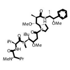 CC[C@H](C)[C@@H]([C@@H](CC(=O)N1CCC[C@H]1[C@H](OC)[C@@H](C)C(=O)N[C@H](C)[C@@H](OC)c1ccccc1)OC)N(C)C(=O)[C@@H](NC(=O)[C@@H](NC)C(C)C)C(C)C